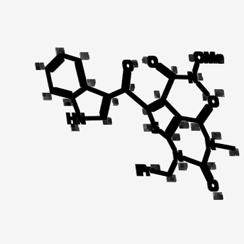 CON(C)C(=O)c1c(C(=O)c2c[nH]c3ccccc23)sc2c1c(=O)n(C)c(=O)n2CC(C)C